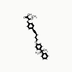 CO[C@@H](Cc1ccc(C#CCCCOc2ccc(C(C)(C)c3ccccc3)cc2)cc1)C(=O)O